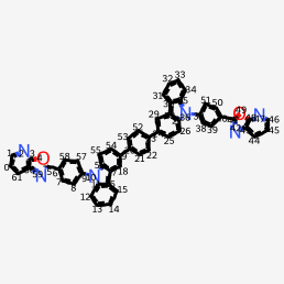 c1cnc2oc(-c3ccc(-n4c5ccccc5c5cc(-c6ccc(-c7ccc8c(c7)c7ccccc7n8-c7ccc(-c8nc9cccnc9o8)cc7)cc6)ccc54)cc3)nc2c1